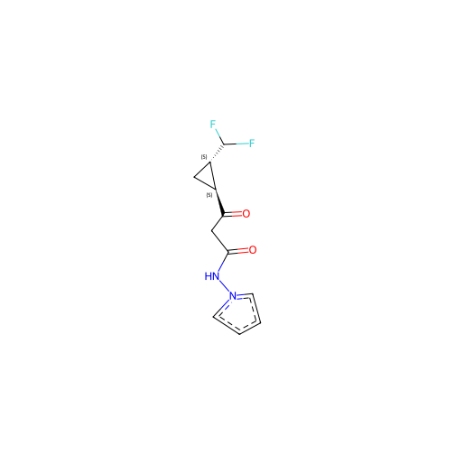 O=C(CC(=O)[C@H]1C[C@@H]1C(F)F)Nn1cccc1